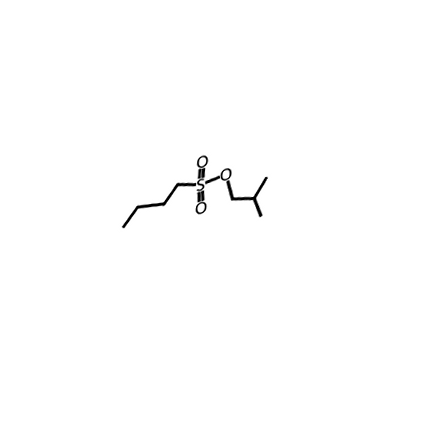 CCCCS(=O)(=O)OCC(C)C